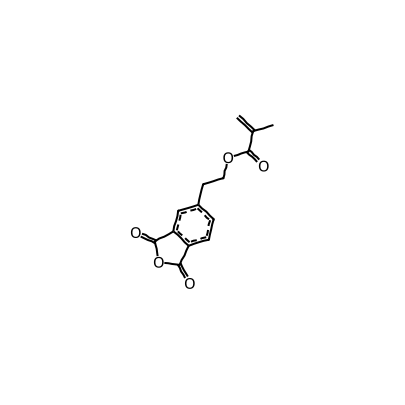 C=C(C)C(=O)OCCc1ccc2c(c1)C(=O)OC2=O